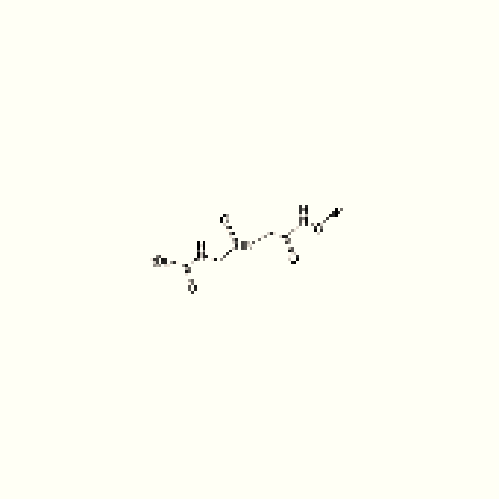 CC(C)ONC(=O)CNC(=O)CNC(=O)C(C)(C)C